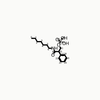 CCCCCCCNC(=O)C(COP(=O)(O)O)c1ccccc1